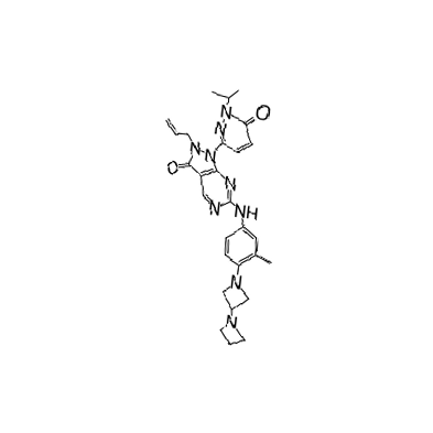 C=CCn1c(=O)c2cnc(Nc3ccc(N4CC(N5CCC5)C4)c(C)c3)nc2n1-c1ccc(=O)n(C(C)C)n1